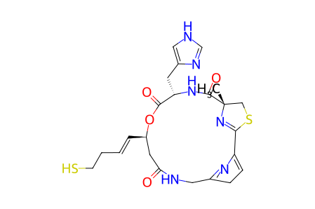 C[C@@]12CSC(=N1)C1=CCC(=N1)CNC(=O)C[C@@H](/C=C/CCS)OC(=O)[C@H](Cc1c[nH]cn1)NC2=O